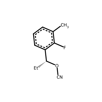 CC[C@@H](OC#N)c1cccc(C)c1F